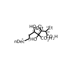 CCCCCCCCCCCCC(CCCCCCCC)C(O)(C(=O)O)C(C(=O)O)C(CC)C(=O)O